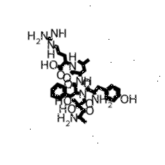 CC(C)CC(NC(=O)C(Cc1ccccc1)N(C(=O)C(N)Cc1ccc(O)cc1)C(=O)C(O)(CO)C(=O)C(C)N)C(=O)NC(CCCNC(=N)N)C(=O)O